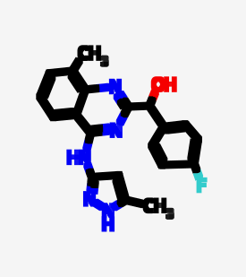 Cc1cc(Nc2nc(C(O)c3ccc(F)cc3)nc3c(C)cccc23)n[nH]1